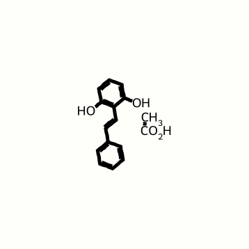 CC(=O)O.Oc1cccc(O)c1C=Cc1ccccc1